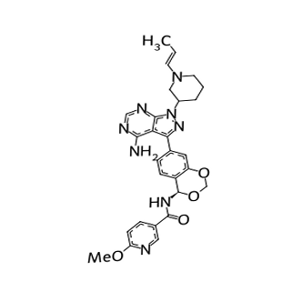 CC=CN1CCCC(n2nc(-c3ccc4c(c3)OCO[C@H]4NC(=O)c3ccc(OC)nc3)c3c(N)ncnc32)C1